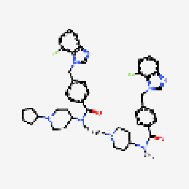 CC(C)N1CCC(N(C)C(=O)c2ccc(Cn3cnc4cccc(F)c43)cc2)CC1.CN(C(=O)c1ccc(Cn2cnc3cccc(F)c32)cc1)C1CCN(C2CCCC2)CC1